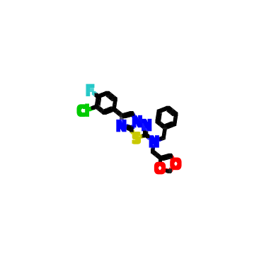 Fc1ccc(-c2cn3nc(N(CC4=COCO4)Cc4ccccc4)sc3n2)cc1Cl